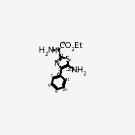 CCOC(=O)N(N)c1nc(-c2ccccc2)c(N)s1